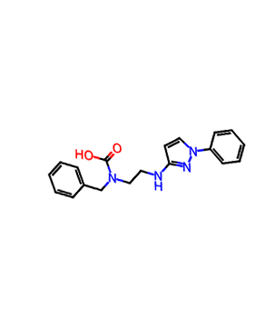 O=C(O)N(CCNc1ccn(-c2ccccc2)n1)Cc1ccccc1